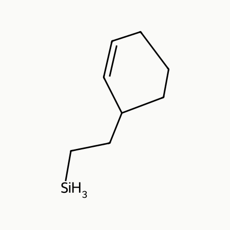 [SiH3]CCC1C=CCCC1